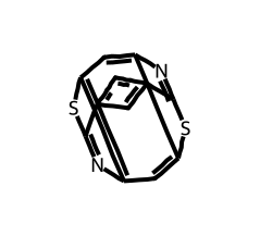 c1cc2cc(c1)-c1nc3cc4sc-2nc4cc3s1